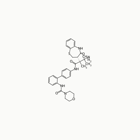 CC(C)(N)C(C)(C(=O)Nc1ccc(-c2ccccc2NC(=O)N2CCOCC2)cc1)[C@@H]1CSc2ccccc2NC1=O